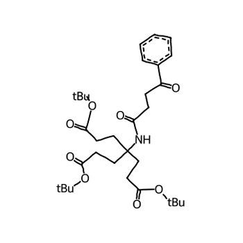 CC(C)(C)OC(=O)CCC(CCC(=O)OC(C)(C)C)(CCC(=O)OC(C)(C)C)NC(=O)CCC(=O)c1ccccc1